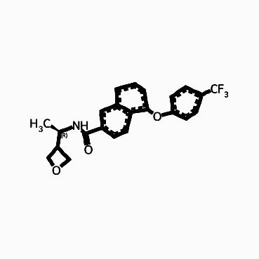 C[C@@H](NC(=O)c1ccc2c(Oc3ccc(C(F)(F)F)cc3)cccc2c1)C1COC1